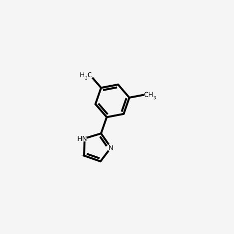 Cc1cc(C)cc(-c2nc[c][nH]2)c1